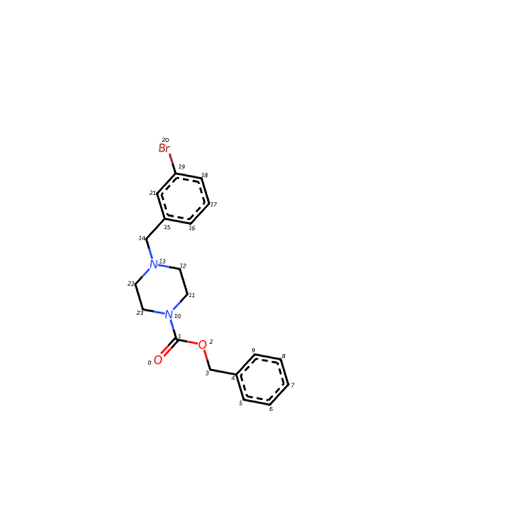 O=C(OCc1ccccc1)N1CCN(Cc2cccc(Br)c2)CC1